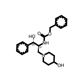 O=C(N[C@@H](CN1CCC(O)CC1)[C@@H](O)c1ccccc1)OCc1ccccc1